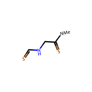 CNC(=S)CNC=S